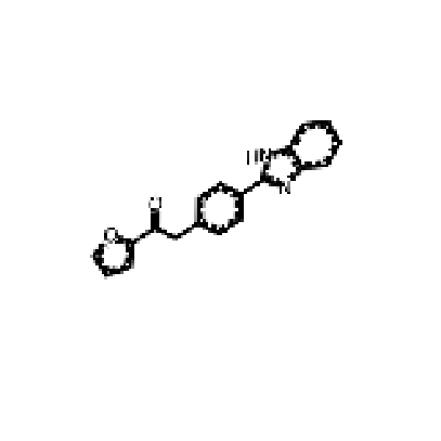 O=C(Cc1ccc(-c2nc3ccccc3[nH]2)cc1)c1ccco1